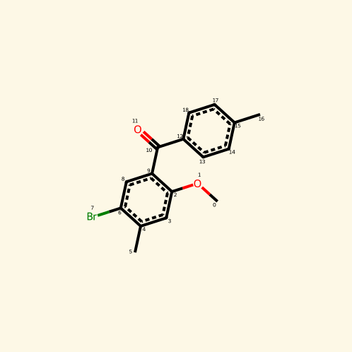 COc1cc(C)c(Br)cc1C(=O)c1ccc(C)cc1